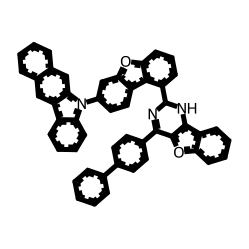 c1ccc(-c2ccc(C3=NC(c4cccc5oc6cc(-n7c8ccccc8c8cc9ccccc9cc87)ccc6c45)Nc4c3oc3ccccc43)cc2)cc1